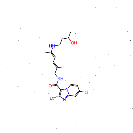 CCc1nc2cc(Cl)ccn2c1C(=O)NC/C(C)=C/C=C(\C)NCCC(C)O